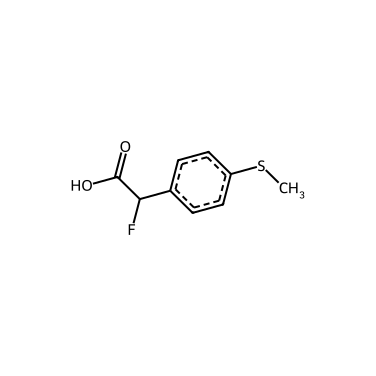 CSc1ccc(C(F)C(=O)O)cc1